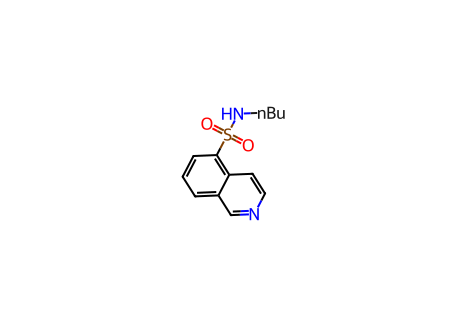 CCCCNS(=O)(=O)c1cccc2cnccc12